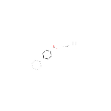 C=CCOC(=O)c1ccc(C2CCCCC2)cc1